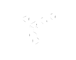 c1ccc(-c2ccc(-c3cc(-c4ccccc4)nc(-c4ccc5ccccc5c4)n3)cc2)cc1